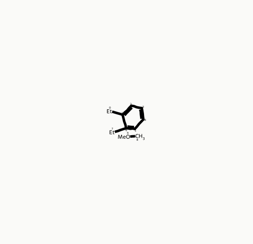 CCc1ccccc1CC.COC